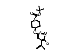 CC(C)c1cc(OC2CCN(C(=O)OC(C)(C)C)CC2)nnc1Cl